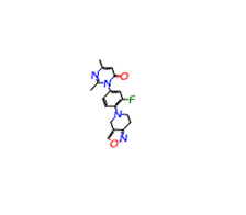 Cc1cc(=O)n(-c2ccc(N3CCc4nocc4C3)c(F)c2)c(C)n1